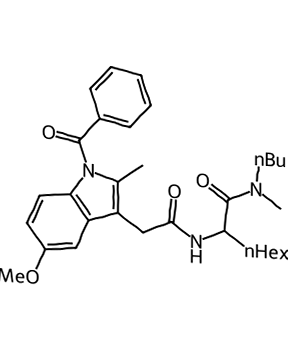 CCCCCCC(NC(=O)Cc1c(C)n(C(=O)c2ccccc2)c2ccc(OC)cc12)C(=O)N(C)CCCC